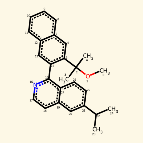 COC(C)(C)c1cc2ccccc2cc1-c1nccc2cc(C(C)C)ccc12